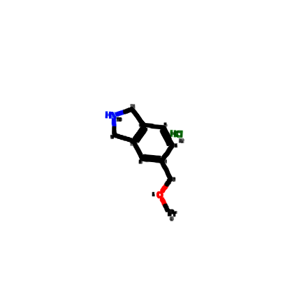 CC(C)OCc1ccc2c(c1)CNC2.Cl